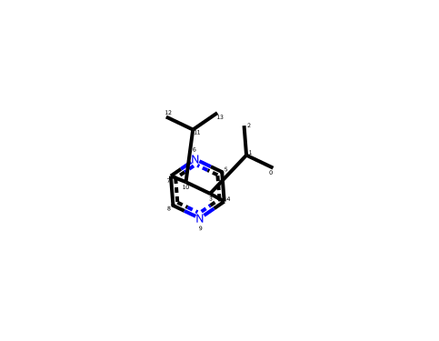 CC(C)C1c2cnc(cn2)C1C(C)C